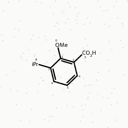 COc1c(C(=O)O)cccc1C(C)C